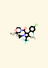 Cc1c(-c2ccc(Cl)cc2F)c(C(=O)N2CCOC(C)(C)C2)n(C2CC2)c1C(F)(F)F